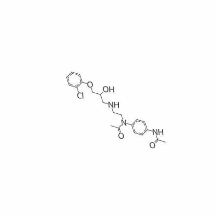 CC(=O)Nc1ccc(N(CCNCC(O)COc2ccccc2Cl)C(C)=O)cc1